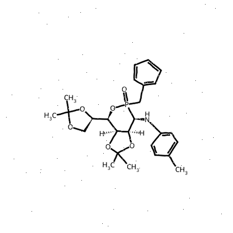 Cc1ccc(N[C@H]2[C@H]3OC(C)(C)O[C@H]3[C@@H]([C@H]3COC(C)(C)O3)OP2(=O)Cc2ccccc2)cc1